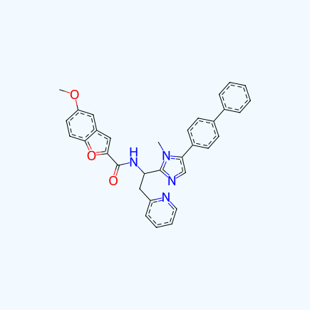 COc1ccc2oc(C(=O)NC(Cc3ccccn3)c3ncc(-c4ccc(-c5ccccc5)cc4)n3C)cc2c1